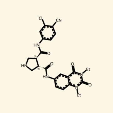 CCn1c(=O)c2cc(NC(=O)[C@@H]3CNC[C@H]3C(=O)Nc3ccc(C#N)c(Cl)c3)ccc2n(CC)c1=O